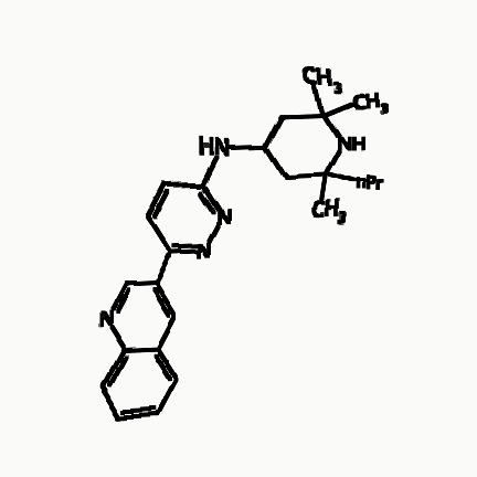 CCCC1(C)CC(Nc2ccc(-c3cnc4ccccc4c3)nn2)CC(C)(C)N1